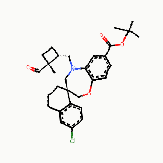 CC(C)(C)OC(=O)c1ccc2c(c1)N(C[C@H]1CC[C@@]1(C)C=O)C[C@@]1(CCCc3cc(Cl)ccc31)CO2